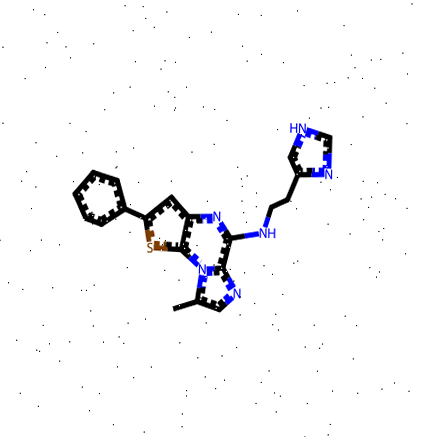 Cc1cnc2c(NCCc3c[nH]cn3)nc3cc(-c4ccccc4)sc3n12